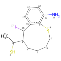 CC(S)C1CCCCSc2c(N)cccc2C1I